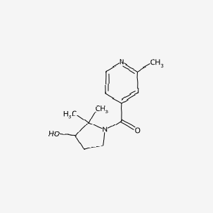 Cc1cc(C(=O)N2CCC(O)C2(C)C)ccn1